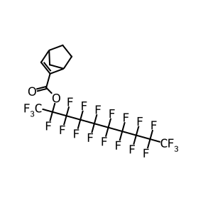 O=C(OC(F)(C(F)(F)F)C(F)(F)C(F)(F)C(F)(F)C(F)(F)C(F)(F)C(F)(F)C(F)(F)C(F)(F)F)C1=CC2CCC1C2